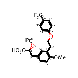 COc1ccc(CC(OC(C)C)C(=O)O)cc1CCOc1ccc(C(F)(F)F)cc1